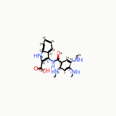 CNc1cc(NC)c(C(=O)Nc2c(C(=O)O)[nH]c3ccccc23)cc1NC